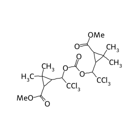 COC(=O)C1C(C(OC(=O)OC(C2C(C(=O)OC)C2(C)C)C(Cl)(Cl)Cl)C(Cl)(Cl)Cl)C1(C)C